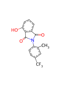 Cc1cc(C(F)(F)F)ccc1N1C(=O)c2cccc(O)c2C1=O